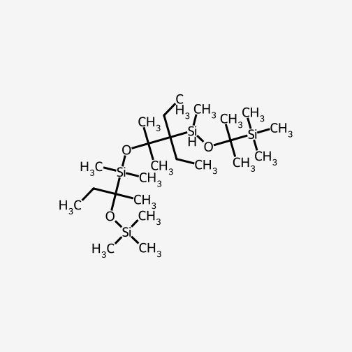 CCC(CC)([SiH](C)OC(C)(C)[Si](C)(C)C)C(C)(C)O[Si](C)(C)C(C)(CC)O[Si](C)(C)C